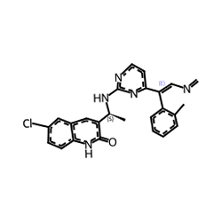 C=N/C=C(/c1ccnc(N[C@@H](C)c2cc3cc(Cl)ccc3[nH]c2=O)n1)c1ccccc1C